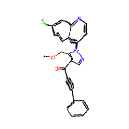 COCc1c(C(=O)C#Cc2ccccc2)cnn1-c1ccnc2cc(Cl)ccc12